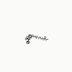 C=CC(=O)OCCSCCSCCOc1cc2cc(-c3ccoc3)c(=O)oc2cn1